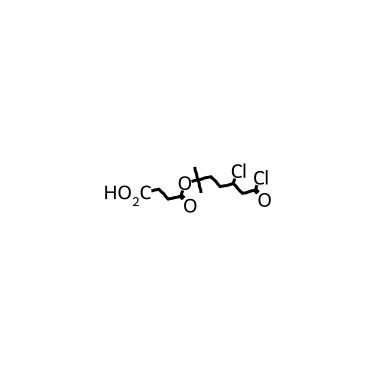 CC(C)(CCC(Cl)CC(=O)Cl)OC(=O)CCC(=O)O